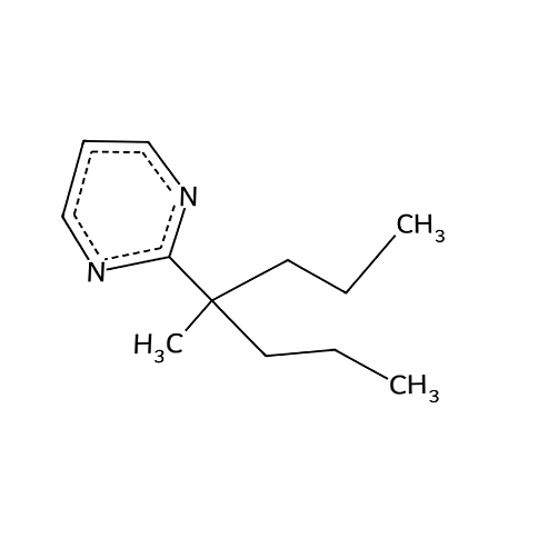 CCCC(C)(CCC)c1ncccn1